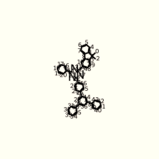 CC1(C)c2ccccc2-c2cc(-c3nc(-c4ccccc4)nc(-c4ccc(-c5cc(-c6ccccc6)cc(-c6ccccc6)c5)cc4)n3)ccc21